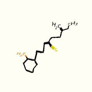 C=C(CC)CCC(=S)CCCC1CCCCC1P